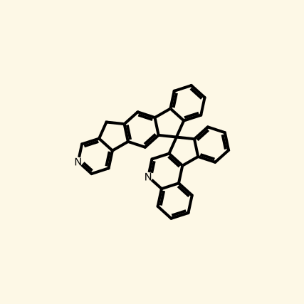 c1ccc2c(c1)-c1cc3c(cc1C21c2ccccc2-c2c1cnc1ccccc21)-c1ccncc1C3